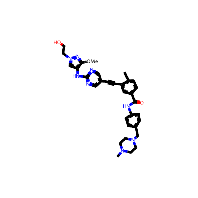 COc1nn(CCO)cc1Nc1ncc(C#Cc2cc(C(=O)Nc3ccc(CN4CCN(C)CC4)cc3)ccc2C)cn1